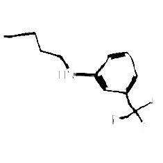 CCCCNc1cccc(C(F)(F)F)c1